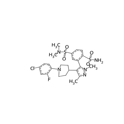 Cc1nn(C)c(-c2cc(S(=O)(=O)N(C)C)ccc2S(N)(=O)=O)c1C1CCN(c2ccc(Cl)cc2F)CC1